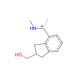 CN[C@H](C)c1cccc2c1CC(CO)C2